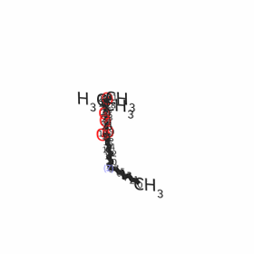 CCCCCCCC/C=C\CCCCCCCC(=O)OCCOCOCCC(C)(C)OC